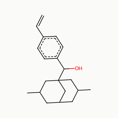 C=Cc1ccc(C(O)C23CC(C)CC(CC(C)C2)C3)cc1